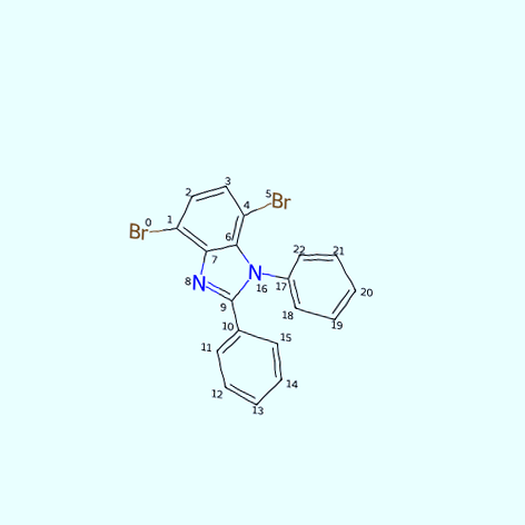 Brc1ccc(Br)c2c1nc(-c1ccccc1)n2-c1ccccc1